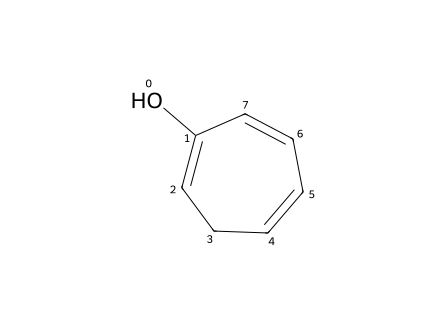 OC1=CCC=CC=C1